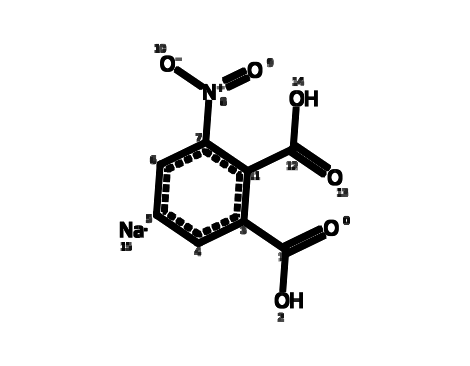 O=C(O)c1cccc([N+](=O)[O-])c1C(=O)O.[Na]